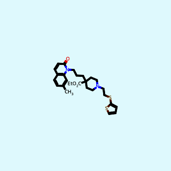 CCOC(=O)C1(CCCn2c(=O)ccc3ccc(C)cc32)CCN(CCSc2cccs2)CC1